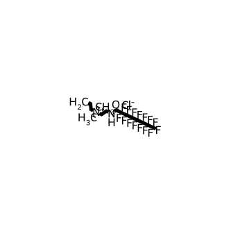 C=CC[N+](C)(C)CCNC(=O)C(F)(F)C(F)(F)C(F)(F)C(F)(F)C(F)(F)C(F)(F)C(F)(F)F.[Cl-]